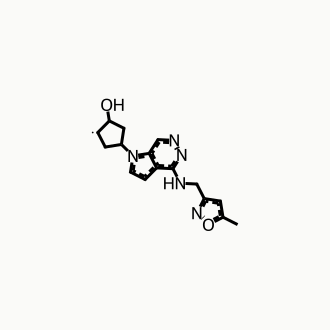 Cc1cc(CNc2nncc3c2ccn3C2C[CH]C(O)C2)no1